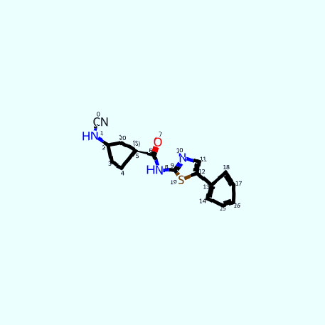 N#CNC1CC[C@H](C(=O)Nc2ncc(-c3ccccc3)s2)C1